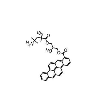 CC(C)(N)CC(C)(C(=O)OCC(O)COC(=O)c1cccc2c1cc1ccc3c4ccccc4cc4ccc2c1c43)C(C)(C)C